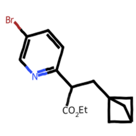 CCOC(=O)C(CC12CC(C1)C2)c1ccc(Br)cn1